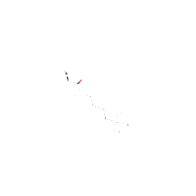 CCCC[Si](CCCC)(CCCC)CCCCOC(=O)/C=C\C(=O)O